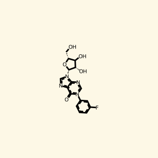 O=c1c2ncn([C@@H]3O[C@H](CO)C(O)[C@@H]3O)c2ncn1-c1cccc(F)c1